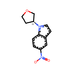 O=[N+]([O-])c1ccc2c(ccn2[C@H]2CCOC2)c1